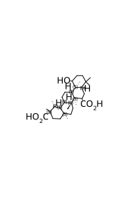 C[C@@H]1[C@H]2[C@H]3CC[C@@H]4[C@@]5(C)C(O)CCC(C)(C)[C@@H]5CC(C(=O)O)[C@@]4(C)[C@]3(C)CC[C@@]2(C)CC[C@]1(C)C(=O)O